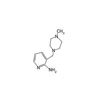 CN1CCN(Cc2cccnc2N)CC1